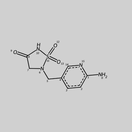 Nc1ccc(CN2CC(=O)NS2(=O)=O)cn1